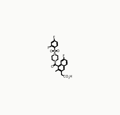 Cc1c(CC(=O)O)cc2ccc(F)cc2c1C(=O)N1CCN(S(=O)(=O)c2ccc(F)cc2F)CC1